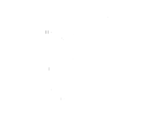 CN(C(=O)C1CCCN1C(=O)OC(C)(C)C)c1ccc(Br)cc1